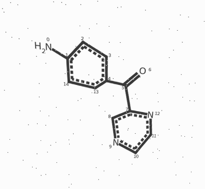 Nc1ccc(C(=O)c2cnccn2)cc1